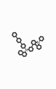 c1ccc(-c2ccc(-c3ccc(N(c4cccc(-c5cccc6c5c5ccccc5n6-c5ccccc5)c4)c4cccc5ccccc45)cc3)cc2)cc1